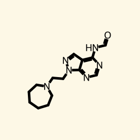 O=CNc1ncnc2c1cnn2CCN1CCCCCC1